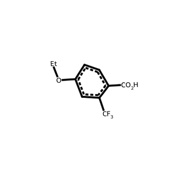 CCOc1ccc(C(=O)O)c(C(F)(F)F)c1